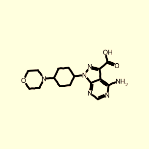 Nc1ncnc2c1c(C(=O)O)nn2C1CCC(N2CCOCC2)CC1